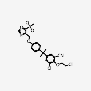 CC(C)(c1ccc(OCc2ncoc2S(C)(=O)=O)cc1)c1cc(Cl)c(OCCCl)c(C#N)c1